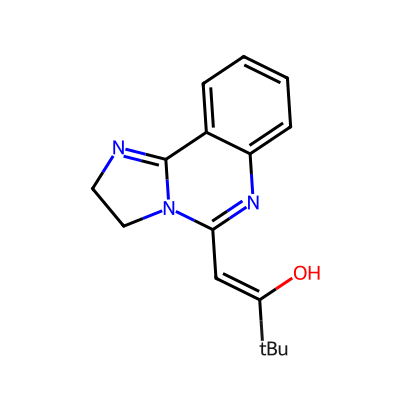 CC(C)(C)/C(O)=C/C1=Nc2ccccc2C2=NCCN12